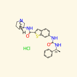 C[C@H](NC(=O)Nc1ccc2cc(C(=O)N[C@H]3CN4CCC3CC4)sc2c1)c1ccccc1.Cl